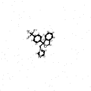 FC(F)(F)c1ccc(C2(Cn3ccnc3)OCc3ccccc32)cc1